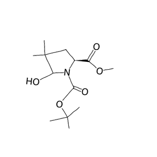 COC(=O)[C@@H]1CC(C)(C)C(O)N1C(=O)OC(C)(C)C